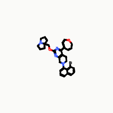 CCc1cccc2cccc(N3CCc4c(nc(OCC56CCCN5CCC6)nc4C4=CCOCCC4)C3)c12